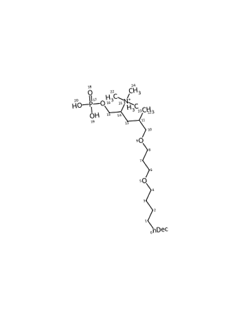 CCCCCCCCCCCCCCOCCCOCC(C)CC(COP(=O)(O)O)[N+](C)(C)C